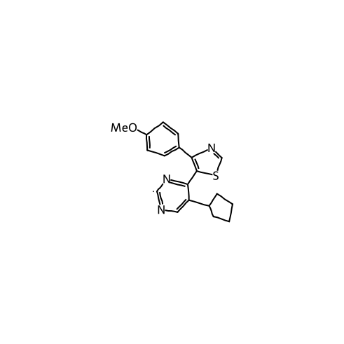 COc1ccc(-c2ncsc2-c2n[c]ncc2C2CCCC2)cc1